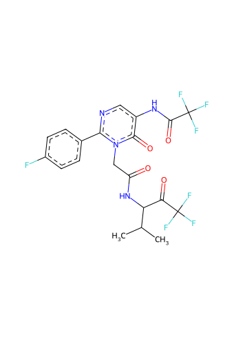 CC(C)C(NC(=O)Cn1c(-c2ccc(F)cc2)ncc(NC(=O)C(F)(F)F)c1=O)C(=O)C(F)(F)F